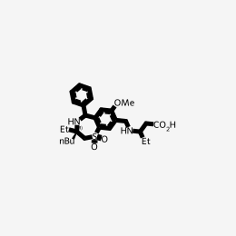 CCCC[C@]1(CC)CS(=O)(=O)c2cc(CNC(CC)CC(=O)O)c(OC)cc2C(c2ccccc2)N1